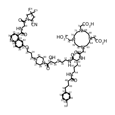 N#C[C@H]1CC(F)(F)CN1C(=O)CNC(=O)c1ccnc2ccc(OCCCN3CCN(C(=O)[C@H](O)CSCCNC(=O)[C@H](CCCNC(=O)CCCc4ccc(I)cc4)NC(=O)CN4CCN(CC(=O)O)CCN(CC(=O)O)CCN(CC(=O)O)CC4)CC3)cc12